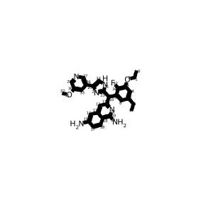 CCOc1cc(CC)cc(C(c2cc3cc(N)ccc3c(N)n2)c2nc(-c3cncc(OC)c3)c[nH]2)c1F